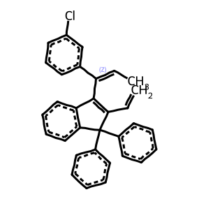 C=CC1=C(/C(=C\C)c2cccc(Cl)c2)c2ccccc2C1(c1ccccc1)c1ccccc1